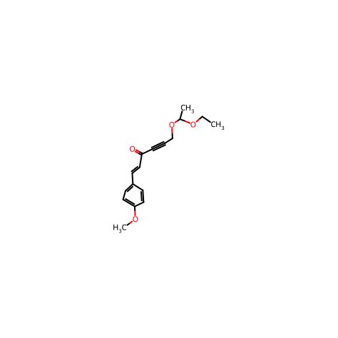 CCOC(C)OCC#CC(=O)/C=C/c1ccc(OC)cc1